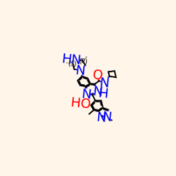 Cc1c(O)c(-c2nc(C(=O)NC3CCC3)c3cc(N4C[C@@H](C)N[C@@H](C)C4)ccc3n2)cc2cn(C)nc12